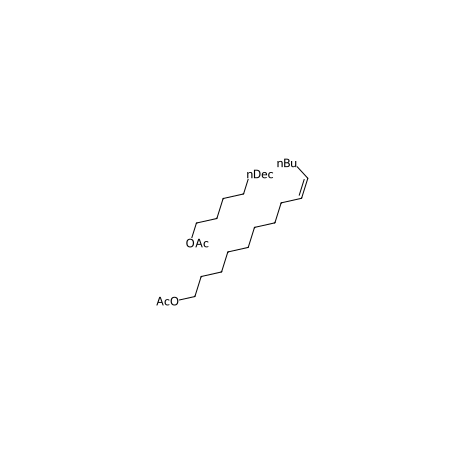 CCCC/C=C\CCCCCCCCOC(C)=O.CCCCCCCCCCCCCCOC(C)=O